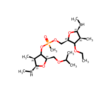 CB[C@@H]1O[C@H](COP(C)(=O)OC2[C@@H](COC(C)C)O[C@@H](BC)[C@H]2C)C(OCC)[C@@H]1C